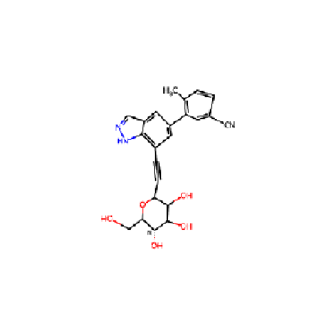 Cc1ccc(C#N)cc1-c1cc(C#CC2OC(CO)[C@@H](O)C(O)C2O)c2[nH]ncc2c1